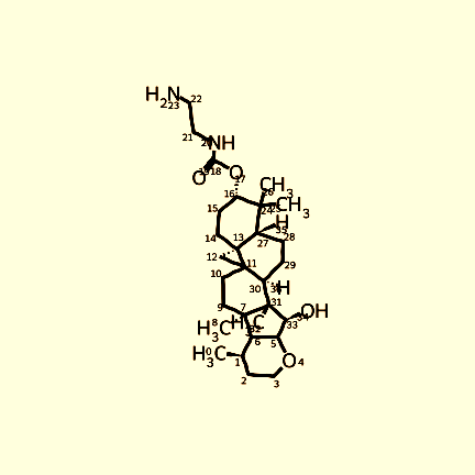 C[C@@H]1CCOC2C1[C@@]1(C)CCC34C[C@@]35CC[C@H](OC(=O)NCCN)C(C)(C)[C@@H]5CC[C@H]4[C@]1(C)[C@H]2O